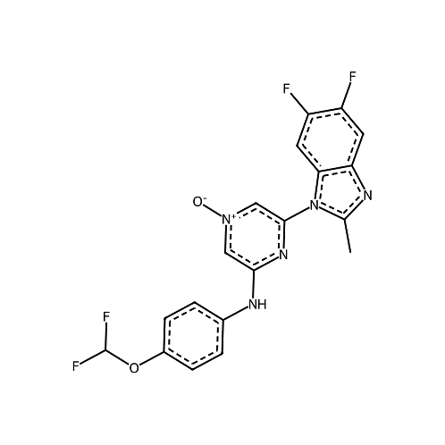 Cc1nc2cc(F)c(F)cc2n1-c1c[n+]([O-])cc(Nc2ccc(OC(F)F)cc2)n1